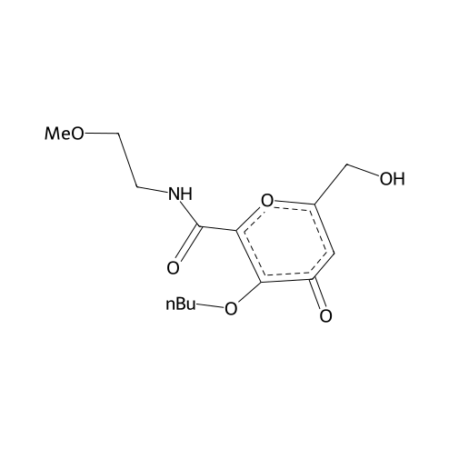 CCCCOc1c(C(=O)NCCOC)oc(CO)cc1=O